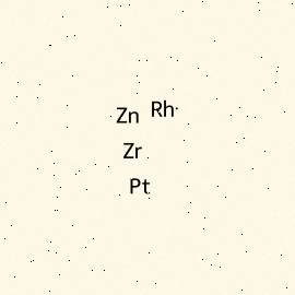 [Pt].[Rh].[Zn].[Zr]